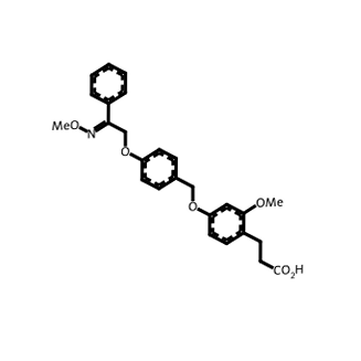 CON=C(COc1ccc(COc2ccc(CCC(=O)O)c(OC)c2)cc1)c1ccccc1